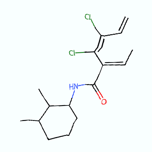 C=C/C(Cl)=C(Cl)\C(=C/C)C(=O)NC1CCCC(C)C1C